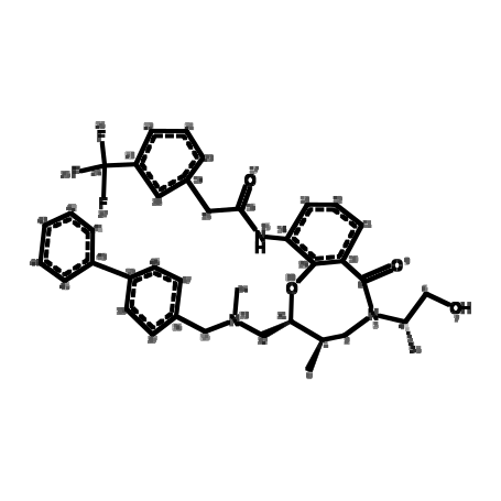 C[C@@H]1CN([C@@H](C)CO)C(=O)c2cccc(NC(=O)Cc3cccc(C(F)(F)F)c3)c2O[C@@H]1CN(C)Cc1ccc(-c2ccccc2)cc1